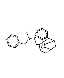 CC1C2CC3CC1CC(C2)C3(CC(=O)N(C)Cc1ccccc1)c1ccccc1